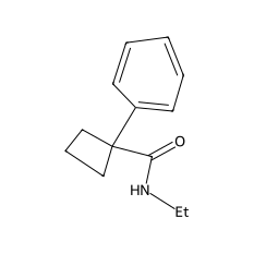 CCNC(=O)C1(c2ccccc2)CCC1